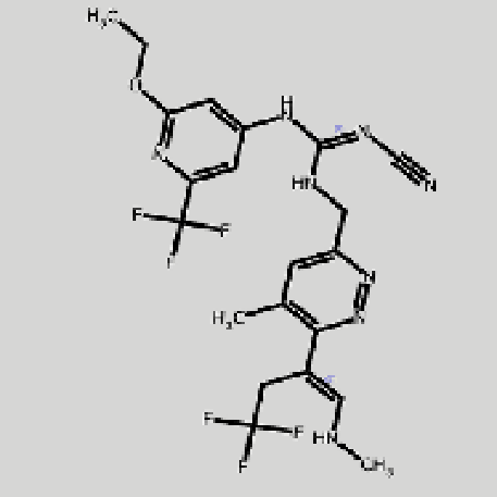 CCOc1cc(N/C(=N/C#N)NCc2cc(C)c(/C(=C/NC)CC(F)(F)F)nn2)cc(C(F)(F)F)n1